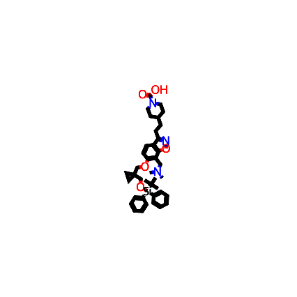 CN(C)Cc1c(OCC2(CO[Si](c3ccccc3)(c3ccccc3)C(C)(C)C)CC2)ccc2c(CCC3CCN(C(=O)O)CC3)noc12